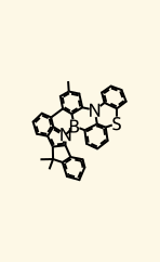 Cc1cc2c3c(c1)N1c4ccccc4Sc4cccc(c41)B3n1c3c(c4cccc-2c41)C(C)(C)c1ccccc1-3